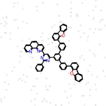 c1ccc(-c2nc(-c3cc(-c4cccc(-c5cccc6c5oc5ccccc56)c4)cc(-c4cccc(-c5cccc6c5oc5ccccc56)c4)c3)cc(-c3ccc4ccc5cccnc5c4n3)n2)cc1